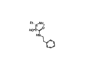 CC[C@H](N)[C@H](O)C(=O)NCCc1ccccc1